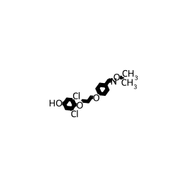 CC(C)ON=Cc1ccc(OCCCOc2c(Cl)cc(O)cc2Cl)cc1